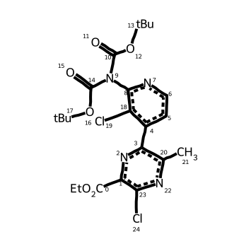 CCOC(=O)c1nc(-c2ccnc(N(C(=O)OC(C)(C)C)C(=O)OC(C)(C)C)c2Cl)c(C)nc1Cl